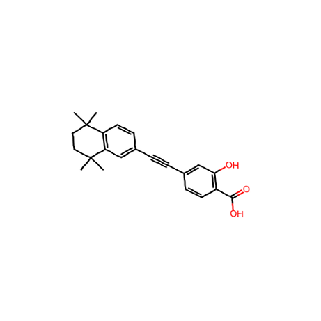 CC1(C)CCC(C)(C)c2cc(C#Cc3ccc(C(=O)O)c(O)c3)ccc21